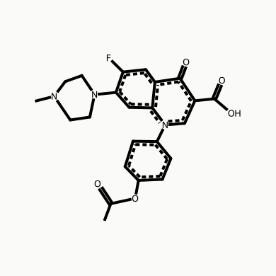 CC(=O)Oc1ccc(-n2cc(C(=O)O)c(=O)c3cc(F)c(N4CCN(C)CC4)cc32)cc1